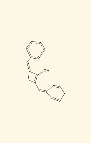 OC1=C(C=C2C=CCC=C2)CC1=Cc1ccccc1